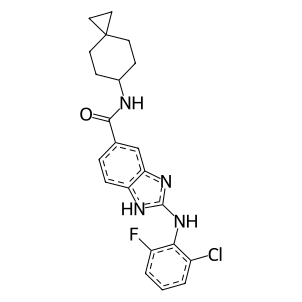 O=C(NC1CCC2(CC1)CC2)c1ccc2[nH]c(Nc3c(F)cccc3Cl)nc2c1